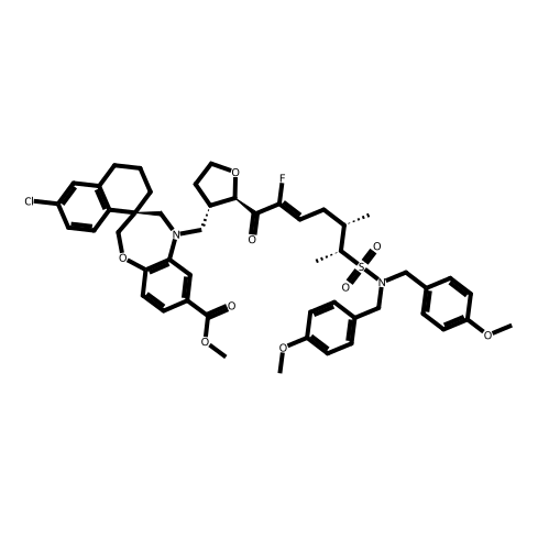 COC(=O)c1ccc2c(c1)N(C[C@@H]1CCO[C@H]1C(=O)/C(F)=C/C[C@H](C)[C@@H](C)S(=O)(=O)N(Cc1ccc(OC)cc1)Cc1ccc(OC)cc1)C[C@@]1(CCCc3cc(Cl)ccc31)CO2